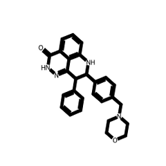 O=c1[nH]nc2c3c(cccc13)NC(c1ccc(CN3CCOCC3)cc1)C2c1ccccc1